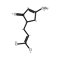 CC(C)COC1=CC(=O)C(CC=C(Cl)Cl)C1